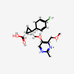 COCc1nc(C)ncc1OC[C@@]1(C2C=CC(F)=CC2)C[C@H]1C(=O)O